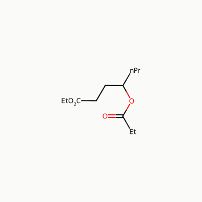 CCCC(CCC(=O)OCC)OC(=O)CC